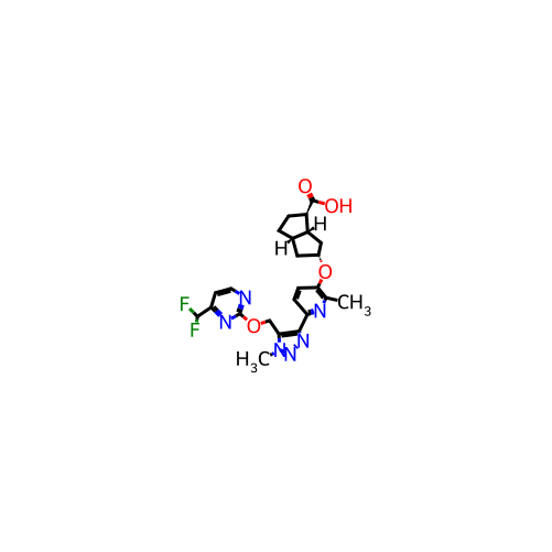 Cc1nc(-c2nnn(C)c2COc2nccc(C(F)F)n2)ccc1O[C@@H]1C[C@@H]2CC[C@@H](C(=O)O)[C@@H]2C1